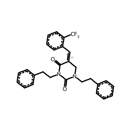 O=C1/C(=C\c2ccccc2C(F)(F)F)CN(CCc2ccccc2)C(=O)N1CCc1ccccc1